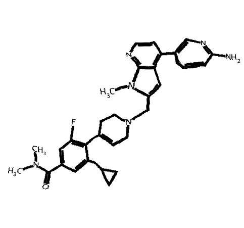 CN(C)C(=O)c1cc(F)c(C2=CCN(Cc3cc4c(-c5ccc(N)nc5)ccnc4n3C)CC2)c(C2CC2)c1